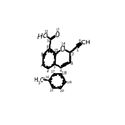 C#CC1C=Cc2cccc(C(=O)O)c2O1.Cc1ccccc1